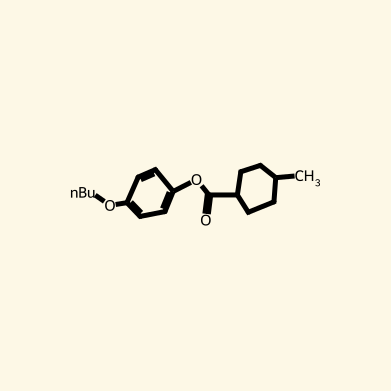 CCCCOc1ccc(OC(=O)C2CCC(C)CC2)cc1